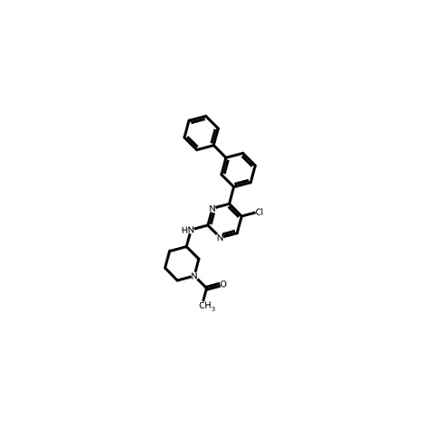 CC(=O)N1CCCC(Nc2ncc(Cl)c(-c3cccc(-c4ccccc4)c3)n2)C1